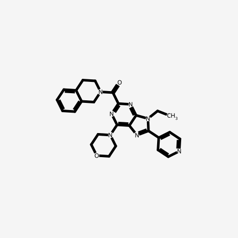 CCn1c(-c2ccncc2)nc2c(N3CCOCC3)nc(C(=O)N3CCc4ccccc4C3)nc21